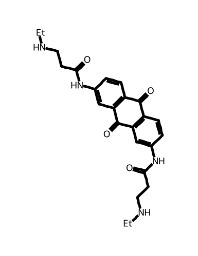 CCNCCC(=O)Nc1ccc2c(c1)C(=O)c1cc(NC(=O)CCNCC)ccc1C2=O